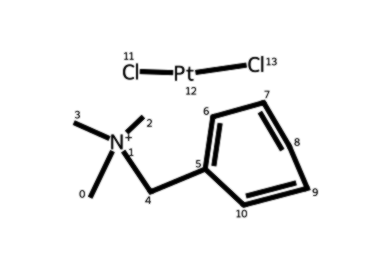 C[N+](C)(C)Cc1ccccc1.[Cl][Pt][Cl]